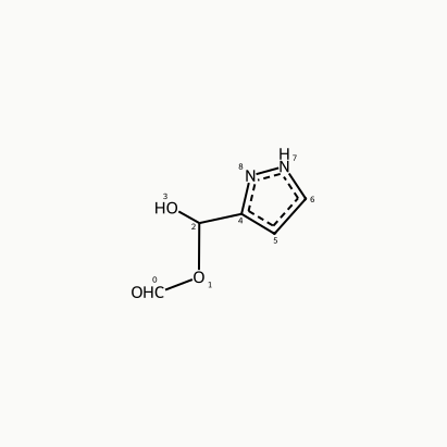 O=COC(O)c1cc[nH]n1